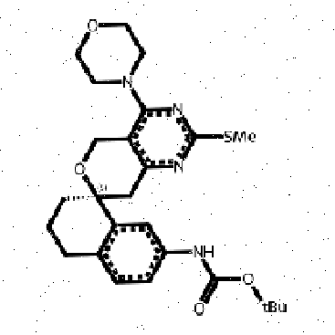 CSc1nc2c(c(N3CCOCC3)n1)CO[C@@]1(CCCc3ccc(NC(=O)OC(C)(C)C)cc31)C2